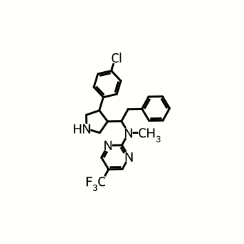 CN(c1ncc(C(F)(F)F)cn1)C(Cc1ccccc1)C1CNCC1c1ccc(Cl)cc1